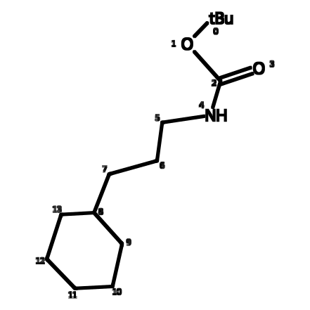 CC(C)(C)OC(=O)NCCCC1CCCCC1